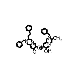 CC1Cn2cc(O)c(=O)cc2CN1Cc1ccccc1.O=c1cc2n(cc1O)CC(CCc1ccccc1)N(Cc1ccccc1)C2